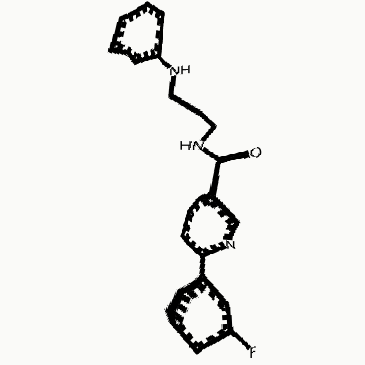 O=C(NCCNc1ccccc1)c1ccc(-c2cccc(F)c2)nc1